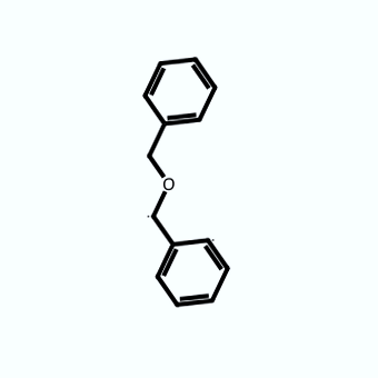 [c]1ccccc1[CH]OCc1ccccc1